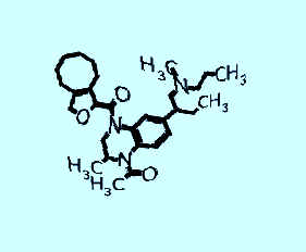 CCCN(C)CC(CC)c1ccc2c(c1)N(C(=O)C1OCC3=C1CCCCCC3)CC(C)N2C(C)=O